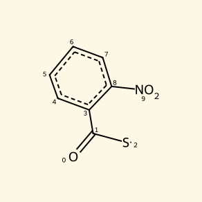 O=C([S])c1ccccc1[N+](=O)[O-]